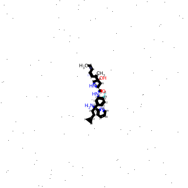 C=C(/C=C\C=C/C)[C@]1(O)CN[C@@H](C(=O)Nc2cc(C(N)(CCC3CC3)c3ccccn3)ccc2F)C1